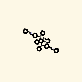 C(=C\c1ccc(N(c2ccccc2)c2c3ccccc3c(N(c3ccccc3)c3ccc(/C=C/c4ccccc4)cc3)c3c2nc2ccccn23)cc1)/c1ccccc1